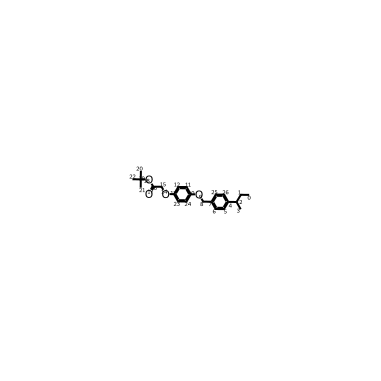 CCC(C)c1ccc(COc2ccc(OCC(=O)OC(C)(C)C)cc2)cc1